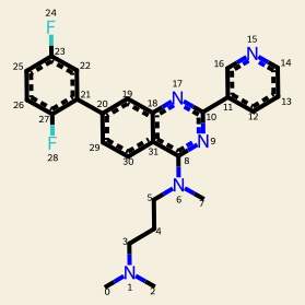 CN(C)CCCN(C)c1nc(-c2cccnc2)nc2cc(-c3cc(F)ccc3F)ccc12